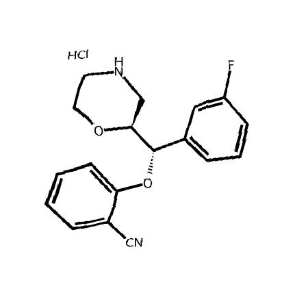 Cl.N#Cc1ccccc1O[C@@H](c1cccc(F)c1)[C@@H]1CNCCO1